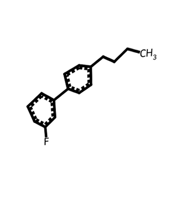 CCCCc1ccc(-c2cccc(F)c2)cc1